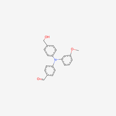 COc1cccc(N(c2ccc(C=O)cc2)c2ccc(CO)cc2)c1